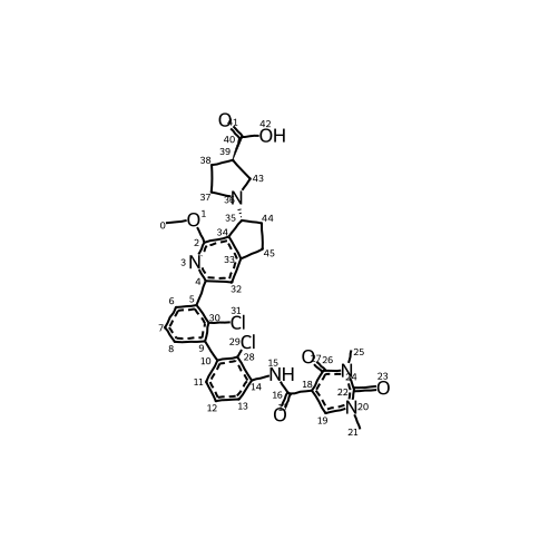 COc1nc(-c2cccc(-c3cccc(NC(=O)c4cn(C)c(=O)n(C)c4=O)c3Cl)c2Cl)cc2c1[C@H](N1CC[C@@H](C(=O)O)C1)CC2